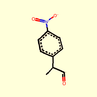 CC([C]=O)c1ccc([N+](=O)[O-])cc1